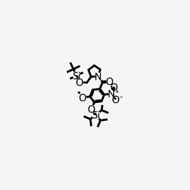 COc1cc(C(=O)N2CCCC2CO[Si](C)(C)C(C)(C)C)c([N+](=O)[O-])cc1O[Si](C(C)C)(C(C)C)C(C)C